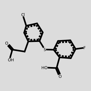 O=C(O)Cc1cc(Cl)ccc1Sc1ccc(F)cc1C(=O)O